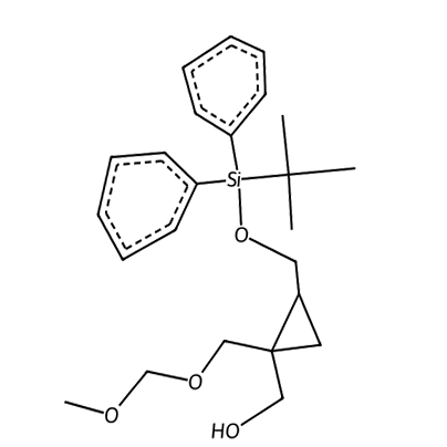 COCOCC1(CO)CC1CO[Si](c1ccccc1)(c1ccccc1)C(C)(C)C